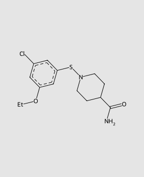 CCOc1cc(Cl)cc(SN2CCC(C(N)=O)CC2)c1